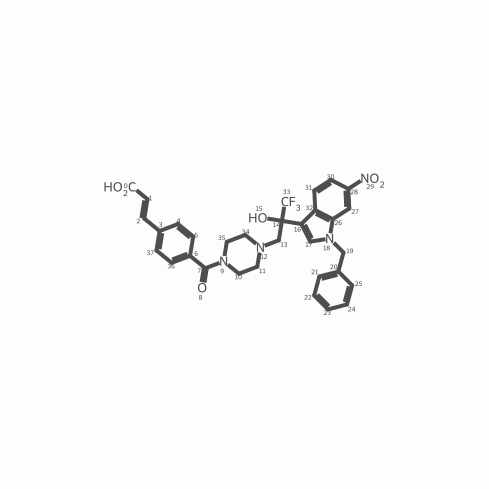 O=C(O)C=Cc1ccc(C(=O)N2CCN(CC(O)(c3cn(Cc4ccccc4)c4cc([N+](=O)[O-])ccc34)C(F)(F)F)CC2)cc1